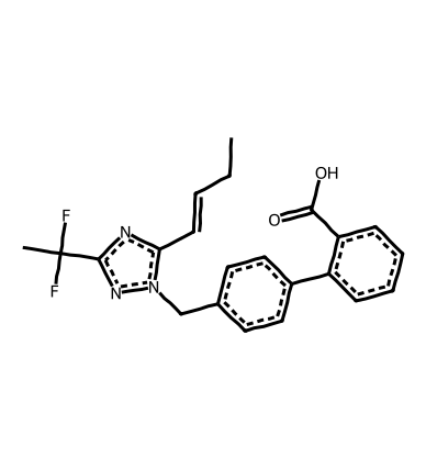 CC/C=C/c1nc(C(C)(F)F)nn1Cc1ccc(-c2ccccc2C(=O)O)cc1